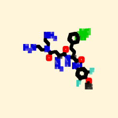 CCOc1c(F)cc(NC(=O)[C@H](CCc2ccccc2)NC(=O)[C@@H](N)CC(=O)N(CCN)CCN)cc1F.Cl.Cl.Cl